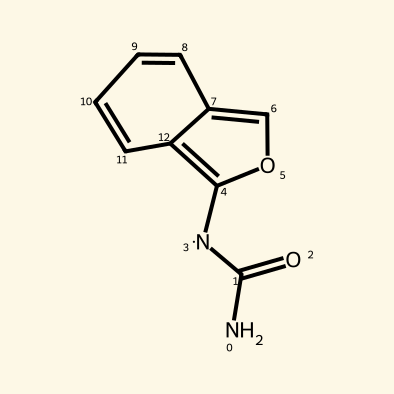 NC(=O)[N]c1occ2ccccc12